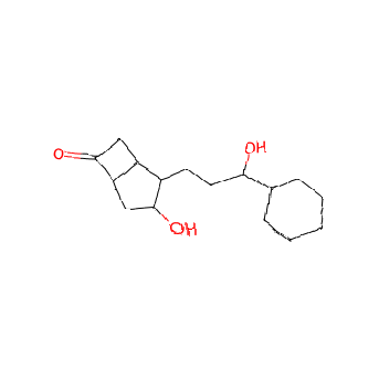 O=C1CC2C1CC(O)C2CCC(O)C1CCCCC1